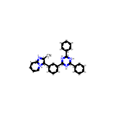 N#Cc1nc2ccccn2c1-c1cccc(-c2nc(-c3ccccc3)nc(-c3ccccc3)n2)c1